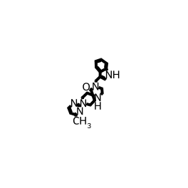 Cc1ccnc(N2CCC3(CC2)NCCN(Cc2c[nH]c4ccccc24)C3=O)n1